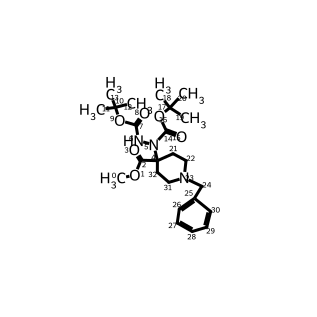 COC(=O)C1(N(NC(=O)OC(C)(C)C)C(=O)OC(C)(C)C)CCN(Cc2ccccc2)CC1